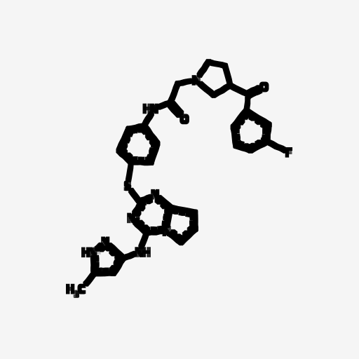 Cc1cc(Nc2nc(Sc3ccc(NC(=O)CN4CCC(C(=O)c5cccc(F)c5)C4)cc3)nc3cccn23)n[nH]1